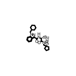 CC(C)(C)[C@H](NC(=O)c1nn(CC2CCCCC2)c2ccccc12)C(=O)NCC1(O)CCCC1